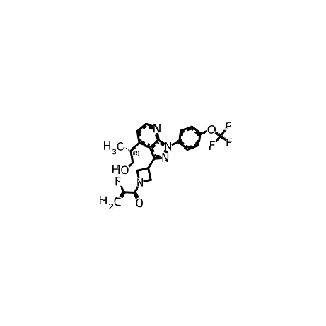 C=C(F)C(=O)N1CC(c2nn(-c3ccc(OC(F)(F)F)cc3)c3nccc([C@@H](C)CO)c23)C1